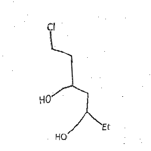 CCC(O)CC(O)CCCl